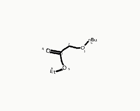 CCCCOCC(=O)OCC